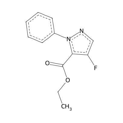 CCOC(=O)c1c(F)cnn1-c1ccccc1